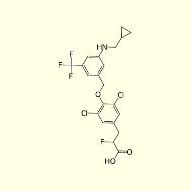 O=C(O)C(F)Cc1cc(Cl)c(OCc2cc(NCC3CC3)cc(C(F)(F)F)c2)c(Cl)c1